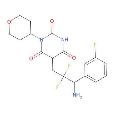 NC(c1cccc(F)c1)C(F)(F)CC1C(=O)NC(=O)N(C2CCOCC2)C1=O